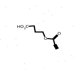 C#CC(=O)OCCCC(=O)O